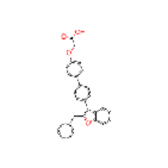 O=C(O)COc1ccc(-c2ccc(-c3c(Cc4ccccc4)oc4ccccc34)cc2)cc1